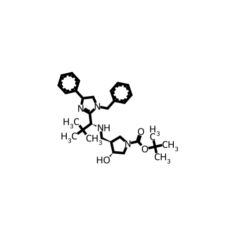 CC(C)(C)OC(=O)N1C[C@H](CN[C@@H](C2=NC(c3ccccc3)CN2Cc2ccccc2)C(C)(C)C)[C@@H](O)C1